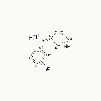 Cl.Fc1cccc(/C=C2/CCCNC2)c1